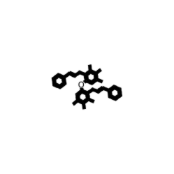 Cc1cc(Oc2cc(C)c(C)c(C)c2CC=Cc2ccccc2)c(CC=Cc2ccccc2)c(C)c1C